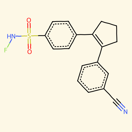 N#Cc1cccc(C2=C(c3ccc(S(=O)(=O)NF)cc3)CCC2)c1